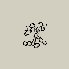 c1ccc2cc3c(cc2c1)oc1c(-c2nc(-c4cccc5oc6ccccc6c45)nc(-c4cccc5sc6ccccc6c45)n2)ccc(-n2c4ccccc4c4cc5ccccc5cc42)c13